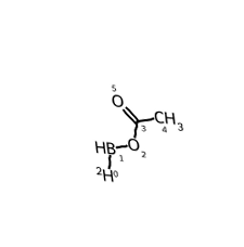 [2H]BOC(C)=O